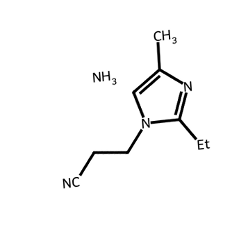 CCc1nc(C)cn1CCC#N.N